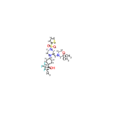 CC1(C)CN(C[C@@H]2CN(S(=O)(=O)c3cccs3)CCN2c2ccc([C@@](C)(O)C(F)(F)F)cc2)CCO1